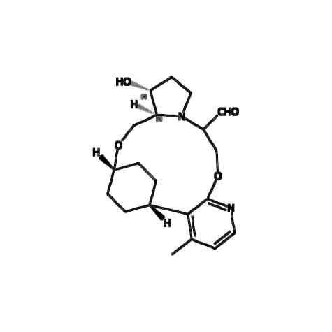 Cc1ccnc2c1[C@H]1CC[C@H](CC1)OC[C@H]1[C@H](O)CCN1C(C=O)CO2